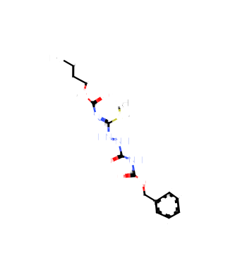 CCCCOC(=O)N=C(NNC(=O)NC(=O)OCc1ccccc1)SC